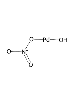 O=[N+]([O-])[O][Pd][OH]